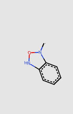 [CH2]N1ONc2ccccc21